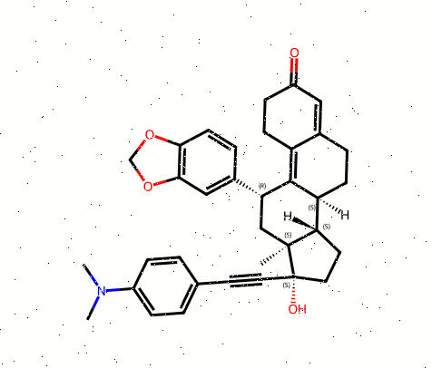 CN(C)c1ccc(C#C[C@]2(O)CC[C@H]3[C@@H]4CCC5=CC(=O)CCC5=C4[C@@H](c4ccc5c(c4)OCO5)C[C@@]32C)cc1